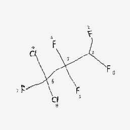 FC(F)C(F)(F)C(F)(Cl)Cl